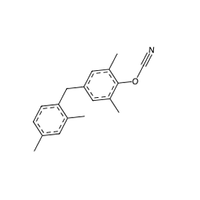 Cc1ccc(Cc2cc(C)c(OC#N)c(C)c2)c(C)c1